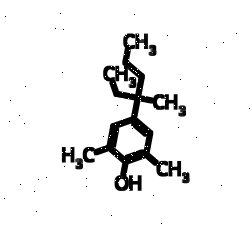 CCCC(C)(CC)c1cc(C)c(O)c(C)c1